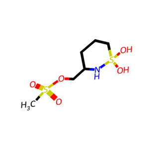 CS(=O)(=O)OCC1CCCS(O)(O)N1